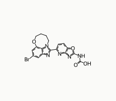 O=C(O)Nc1nc2nc(-c3nc4cc(Br)cc5c4n3CCCCO5)ccc2o1